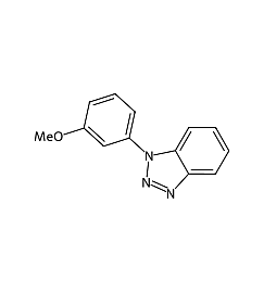 [CH2]Oc1cccc(-n2nnc3ccccc32)c1